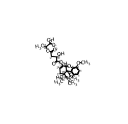 COc1ccc(C)c2c1O[C@H]1C(OC(=O)[C@@H](O)CC(=O)O[C@@H](C)C(=O)O)=CC[C@@]3(O)[C@@H](C)N(C)CC[C@]213